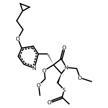 COCO[C@@]1(Cc2cc(OCCC3CC3)ccn2)C(=O)N(COC)[C@H]1CSC(C)=O